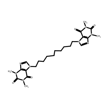 Cn1c(=O)c2c(ncn2CCCCCCCCCCn2cnc3c2c(=O)n(C)c(=O)n3C)n(C)c1=O